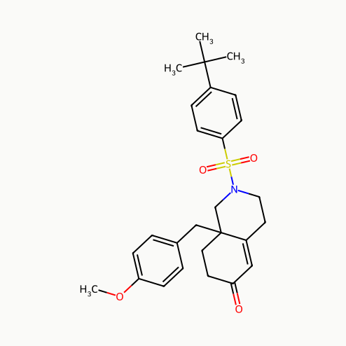 COc1ccc(CC23CCC(=O)C=C2CCN(S(=O)(=O)c2ccc(C(C)(C)C)cc2)C3)cc1